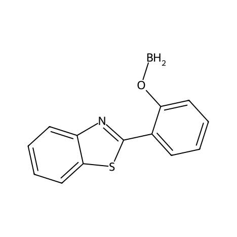 BOc1ccccc1-c1nc2ccccc2s1